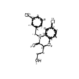 O=C1C(CCO)Oc2ccc(Cl)cc2N1Cc1cccc(Cl)c1